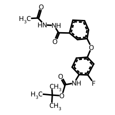 CC(=O)NNC(=O)c1cccc(Oc2ccc(NC(=O)OC(C)(C)C)c(F)c2)c1